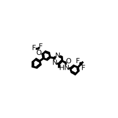 Cc1nc(-c2ccc(OC(F)F)c(-c3ccccc3)c2)ncc1C(=O)Nc1cccc(C(C)(F)F)c1